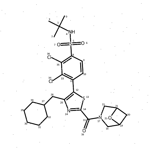 CC(C)(C)NS(=O)(=O)c1ccc(-c2sc(C(=O)N3CC4CC(C3)O4)nc2CC2CCCCC2)c(Cl)c1Cl